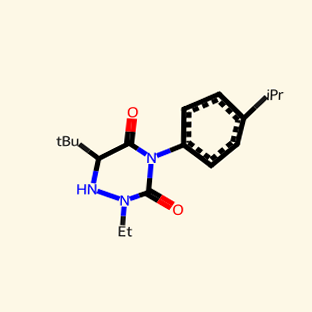 CCN1NC(C(C)(C)C)C(=O)N(c2ccc(C(C)C)cc2)C1=O